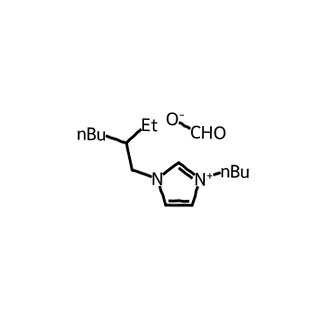 CCCCC(CC)Cn1cc[n+](CCCC)c1.O=C[O-]